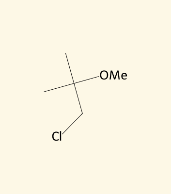 COC(C)(C)CCl